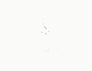 C=C/C=C(C#CC(=O)NCCN1CCC2(CC1)C(=O)NCC2c1ccc(F)cc1)\C=C/C1BC(C)=C1